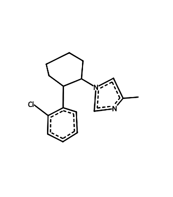 Cc1cn(C2CCCCC2c2ccccc2Cl)cn1